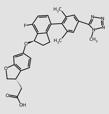 Cc1cc(-c2nnnn2C)cc(C)c1-c1ccc(F)c2c1CC[C@H]2Oc1ccc2c(c1)OC[C@H]2CC(=O)O